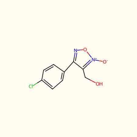 [O-][n+]1onc(-c2ccc(Cl)cc2)c1CO